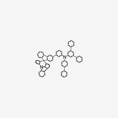 c1ccc(-c2ccc(N(c3cccc(-c4ccc5c(c4)-c4ccccc4C54c5ccccc5-n5c6ccccc6c6cccc4c65)c3)c3cc(-c4ccccc4)cc(-c4ccccc4)c3)cc2)cc1